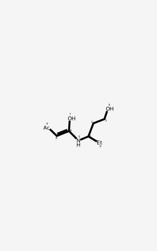 CCC(CCO)N/C(O)=C/C(C)=O